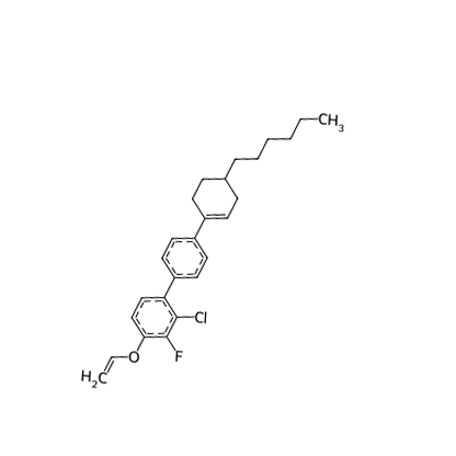 C=COc1ccc(-c2ccc(C3=CCC(CCCCCC)CC3)cc2)c(Cl)c1F